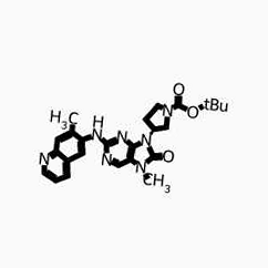 Cc1cc2ncccc2cc1Nc1ncc2c(n1)n([C@H]1CCN(C(=O)OC(C)(C)C)C1)c(=O)n2C